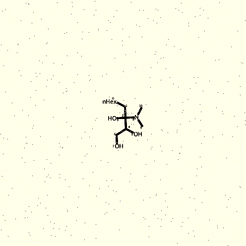 CCCCCCCC(O)(C(O)CO)N(C)C